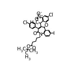 CC(c1ccc(Cl)cc1[N+](=O)[O-])c1c(-c2ccc(Cl)cc2)c(=O)n(CCCCC(=O)OC(C)(C)C)c2ccc(I)cc2c1=O